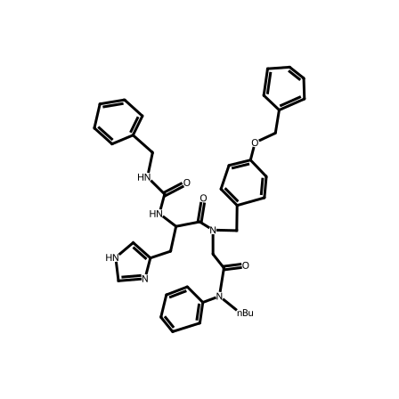 CCCCN(C(=O)CN(Cc1ccc(OCc2ccccc2)cc1)C(=O)C(Cc1c[nH]cn1)NC(=O)NCc1ccccc1)c1ccccc1